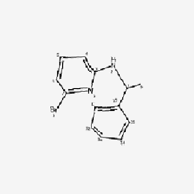 CC(Nc1cccc(Br)n1)c1ccccc1